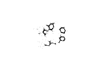 CC(C)=CC1C(C(=O)OCc2cccc(Oc3ccccc3)c2)C1(C)C.N#Cc1nn(-c2c(Cl)cc(C(F)(F)F)cc2Cl)c(N)c1[S+]([O-])C(F)(F)F